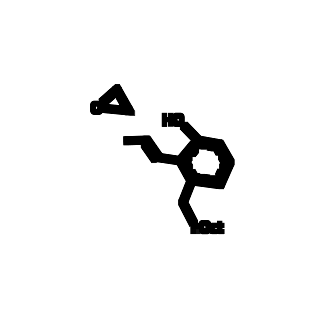 C1CO1.CC=Cc1c(O)cccc1CCCCCCCCC